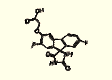 O=C(O)COc1cc2c(cc1F)C1(NC(=O)NC1=O)c1cc(F)ccc1-2